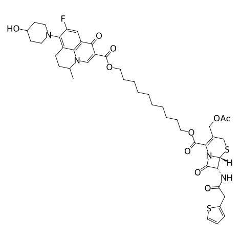 CC(=O)OCC1=C(C(=O)OCCCCCCCCCCOC(=O)c2cn3c4c(c(N5CCC(O)CC5)c(F)cc4c2=O)CCC3C)N2C(=O)[C@@H](NC(=O)Cc3cccs3)[C@H]2SC1